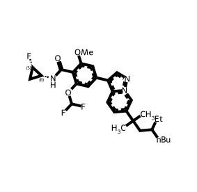 CCCCC(CC)CC(C)(C)c1ccc2c(-c3cc(OC)c(C(=O)N[C@@H]4C[C@@H]4F)c(OC(F)F)c3)cnn2c1